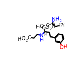 CC(C)C[C@H](N)C(=O)O.O=C(O)CCN[C@H](CCc1cccc(O)c1)C(=O)O